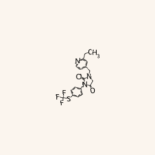 CCc1cc(CN2CC(=O)N(c3ccc(SC(F)(F)F)cc3)C2=O)ccn1